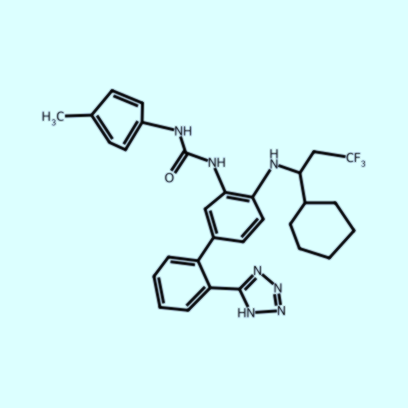 Cc1ccc(NC(=O)Nc2cc(-c3ccccc3-c3nnn[nH]3)ccc2NC(CC(F)(F)F)C2CCCCC2)cc1